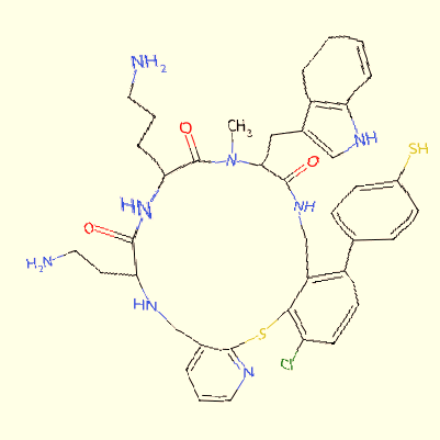 CN1C(=O)C(CCCN)NC(=O)C(CCN)NCc2cccnc2Sc2c(Cl)ccc(-c3ccc(S)cc3)c2CNC(=O)C1Cc1c[nH]c2c1CCC=C2